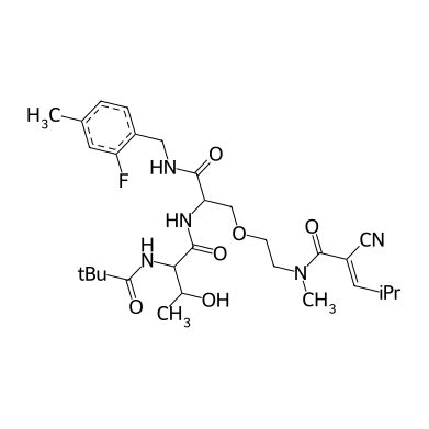 Cc1ccc(CNC(=O)C(COCCN(C)C(=O)C(C#N)=CC(C)C)NC(=O)C(NC(=O)C(C)(C)C)C(C)O)c(F)c1